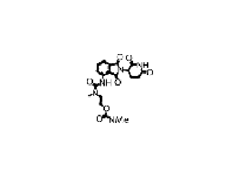 CNC(=O)OCCN(C)C(=O)Nc1cccc2c1C(=O)N(C1CCC(=O)NC1=O)C2=O